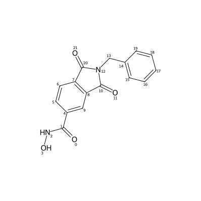 O=C(NO)c1ccc2c(c1)C(=O)N(Cc1ccccc1)C2=O